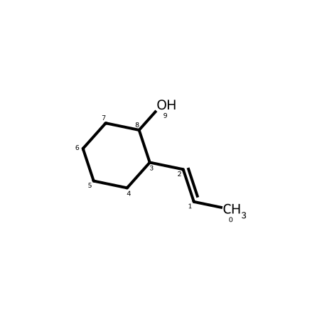 CC=CC1CCCCC1O